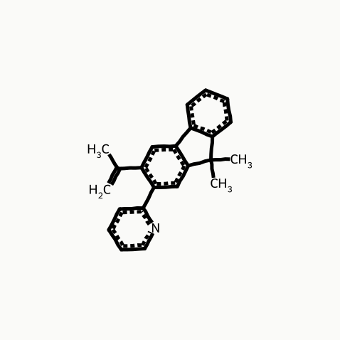 C=C(C)c1cc2c(cc1-c1ccccn1)C(C)(C)c1ccccc1-2